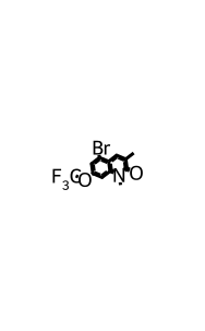 Cc1cc2c(Br)cc(OC(F)(F)F)cc2n(C)c1=O